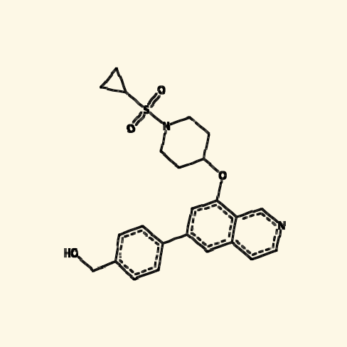 O=S(=O)(C1CC1)N1CCC(Oc2cc(-c3ccc(CO)cc3)cc3ccncc23)CC1